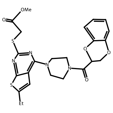 CCc1cc2c(N3CCN(C(=O)C4COc5ccccc5O4)CC3)nc(SCC(=O)OC)nc2s1